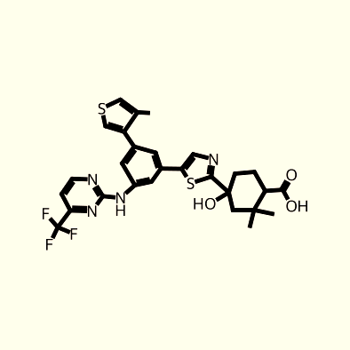 Cc1cscc1-c1cc(Nc2nccc(C(F)(F)F)n2)cc(-c2cnc(C3(O)CCC(C(=O)O)C(C)(C)C3)s2)c1